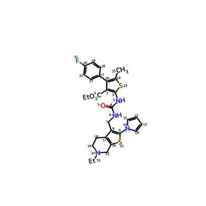 CCOC(=O)c1c(NC(=O)NCc2c(-n3cccc3)sc3c2CCN(CC)C3)sc(C)c1-c1ccc(F)cc1